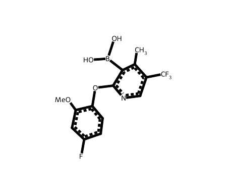 COc1cc(F)ccc1Oc1ncc(C(F)(F)F)c(C)c1B(O)O